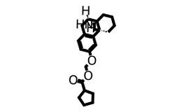 O=C(OCOc1ccc2c(c1)[C@]13CCCC[C@@H]1[C@H](C2)NCC3)C1CCCC1